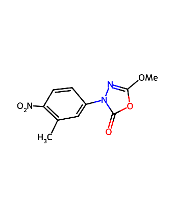 COc1nn(-c2ccc([N+](=O)[O-])c(C)c2)c(=O)o1